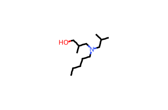 CCCCCN(CC(C)C)CC(C)CO